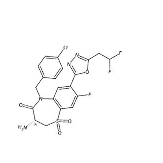 N[C@H]1CS(=O)(=O)c2cc(F)c(-c3nnc(CC(F)F)o3)cc2N(Cc2ccc(Cl)cc2)C1=O